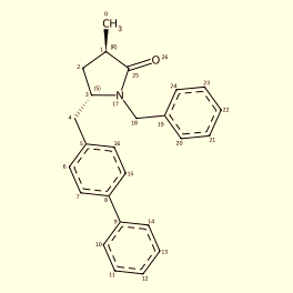 C[C@@H]1C[C@@H](Cc2ccc(-c3ccccc3)cc2)N(Cc2ccccc2)C1=O